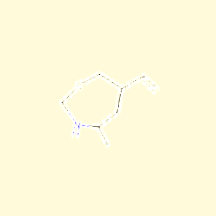 C=CC1CCCNC(C)C1